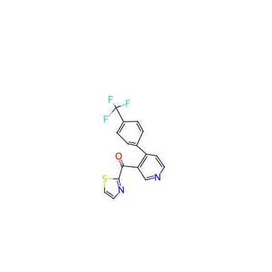 O=C(c1nccs1)c1cnccc1-c1ccc(C(F)(F)F)cc1